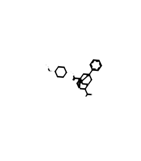 NC[C@H]1CC[C@H](NC(=S)C23CC4CC(c5ccccc5)(CC(C2)C4C(F)F)C3)CC1